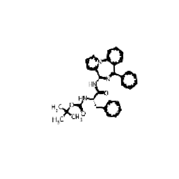 CC(C)(C)OC(=O)N[C@@H](Cc1ccccc1)C(=O)N[C@@H]1N=C(c2ccccc2)c2ccccc2-n2cccc21